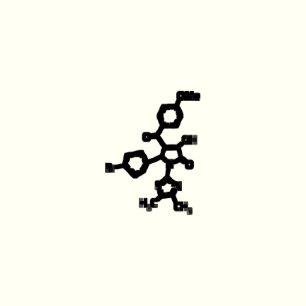 COc1ccc(C(=O)C2=C(O)C(=O)N(c3nc(C)c(C)s3)C2c2ccc(Br)cc2)cc1